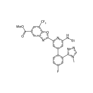 CCNc1cc(-c2ccc(F)cc2-c2nncn2C)cc(-c2nc3cc(C(=O)OC)cc(C(F)(F)F)c3o2)n1